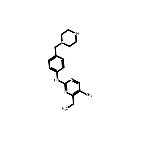 CCc1nc(Nc2ccc(CN3CCNCC3)cc2)ncc1C